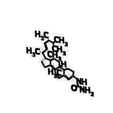 CC(C)[C@@H](C)C=C[C@@H](C)[C@H]1CCC2=C3C=CC4=CC(NC(N)=O)CC[C@]4(C)[C@H]3CC[C@@]21C